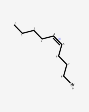 CCCC/C=C\CCCBr